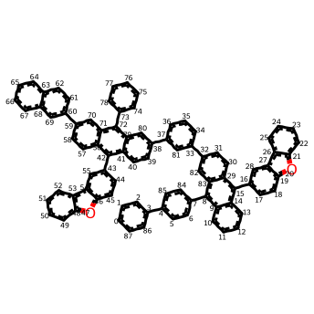 c1ccc(-c2ccc(-c3c4ccccc4c(-c4ccc5oc6ccccc6c5c4)c4ccc(-c5cccc(-c6ccc7c(-c8ccc9oc%10ccccc%10c9c8)c8ccc(-c9ccc%10ccccc%10c9)cc8c(-c8ccccc8)c7c6)c5)cc34)cc2)cc1